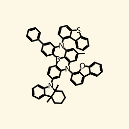 Cc1cc2c3c(c1)N(c1cccc4sc5ccccc5c14)c1cc(-c4ccccc4)ccc1B3c1ccc(N3c4ccccc4C4(C)CCCCC34C)cc1N2c1cccc2c1oc1ccccc12